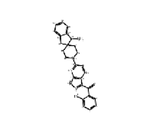 C=C(c1ccccc1Cl)c1n[nH]c2nc(N3CCC4(CC3)Cc3ccccc3[C@H]4N)cnc12